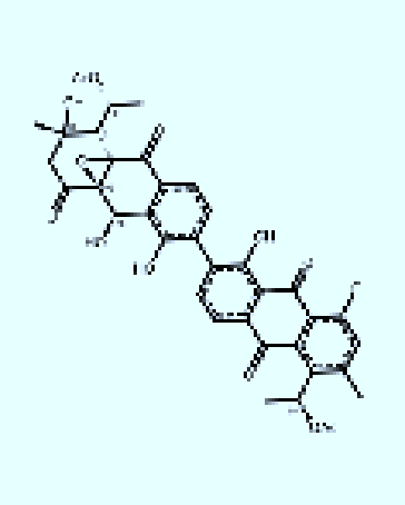 CC(=O)O[C@@H](C)c1c(C)cc(O)c2c1C(=O)c1ccc(-c3ccc4c(c3O)[C@@H](O)[C@@]35OC3(C4=O)[C@@H]([C@@H](C)OC(C)=O)[C@@](C)(O)CC5=O)c(O)c1C2=O